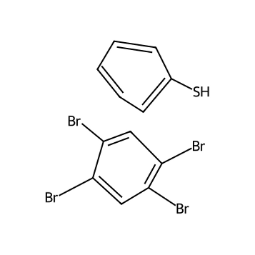 Brc1cc(Br)c(Br)cc1Br.Sc1ccccc1